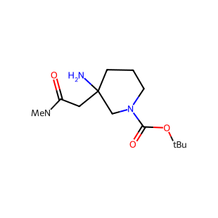 CNC(=O)CC1(N)CCCN(C(=O)OC(C)(C)C)C1